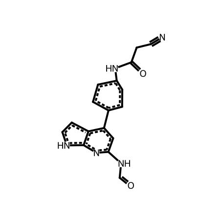 N#CCC(=O)Nc1ccc(-c2cc(NC=O)nc3[nH]ccc23)cc1